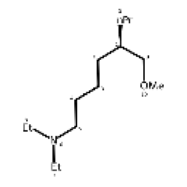 CCC[C@H](CCCCN(CC)CC)COC